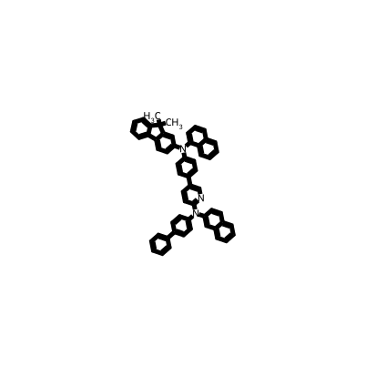 CC1(C)c2ccccc2-c2ccc(N(c3ccc(-c4ccc(N(c5ccc(-c6ccccc6)cc5)c5ccc6ccccc6c5)nc4)cc3)c3cccc4ccccc34)cc21